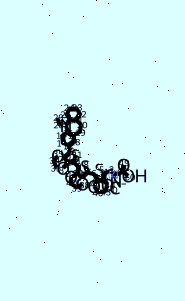 [C-]#[N+]/C(=C\c1sc(-c2sc(-c3sc(-c4ccc5c(c4)CCc4ccccc4N5CC)c4c3OCCO4)c3c2OCCO3)c2c1OCCO2)C(=O)O